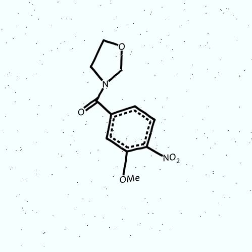 COc1cc(C(=O)N2CCOC2)ccc1[N+](=O)[O-]